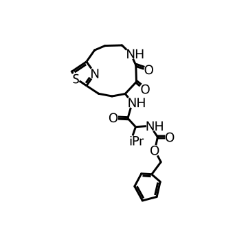 CC(C)C(NC(=O)OCc1ccccc1)C(=O)NC1CCc2nc(cs2)CCCNC(=O)C1=O